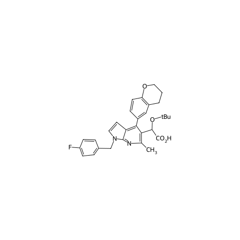 Cc1nc2c(ccn2Cc2ccc(F)cc2)c(-c2ccc3c(c2)CCCO3)c1C(OC(C)(C)C)C(=O)O